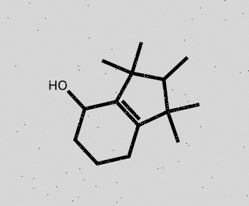 CC1C(C)(C)C2=C(C(O)CCC2)C1(C)C